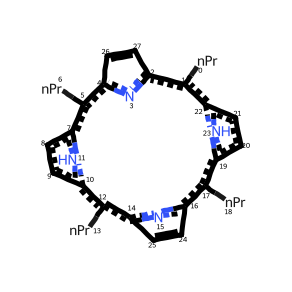 CCCc1c2nc(c(CCC)c3ccc([nH]3)c(CCC)c3nc(c(CCC)c4ccc1[nH]4)C=C3)C=C2